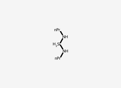 CCCN[SiH2]NCCC